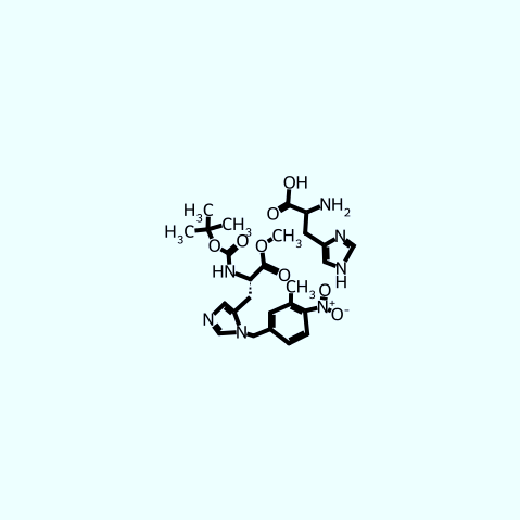 COC(=O)[C@H](Cc1cncn1Cc1ccc([N+](=O)[O-])c(C)c1)NC(=O)OC(C)(C)C.NC(Cc1c[nH]cn1)C(=O)O